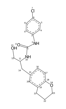 O=C(Nc1ccc(Cl)cc1)NC(CO)Cc1ccc2c(c1)CCCO2